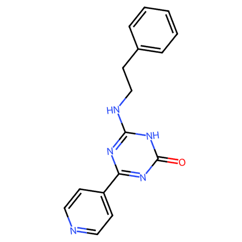 O=c1nc(-c2ccncc2)nc(NCCc2ccccc2)[nH]1